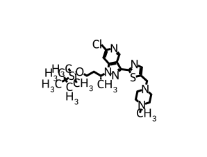 C[C@@H](CCO[Si](C)(C)C(C)(C)C)n1nc(-c2ncc(CN3CCN(C)CC3)s2)c2cnc(Cl)cc21